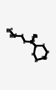 CCNCCN(CC)C1CC[N]CC1